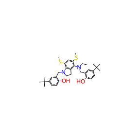 CCN(Cc1cc(C(C)(C)C)ccc1O)c1c(SC)cc(SC)c2c1CCN2Cc1cc(C(C)(C)C)ccc1O